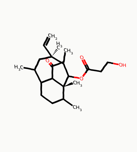 C=C[C@]1(C)CC(C)C2CCC(C)[C@@](C)(C(OC(=O)CCO)C1)C2C(=O)CC